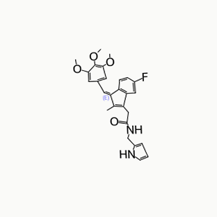 COc1cc(/C=C2/C(C)=C(CC(=O)NCc3ccc[nH]3)c3cc(F)ccc32)cc(OC)c1OC